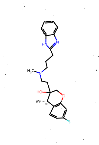 CC(C)[C@H]1c2ccc(F)cc2OCC1(O)CCN(C)CCCc1nc2ccccc2[nH]1